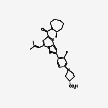 CC(C)=Cc1cc(C(=O)N2CCCCC[C@H]2C)nc2cc(-c3ccc(N4CC[C@H](C(=O)O)C4)cc3F)nn12